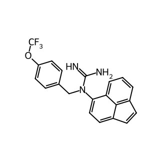 N=C(N)N(Cc1ccc(OC(F)(F)F)cc1)c1ccc2c3c(cccc13)C=C2